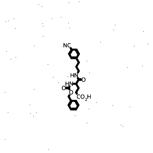 N#Cc1ccc(CCCNC(=O)C(CCC(=O)O)NC(=O)OCc2ccccc2)cc1